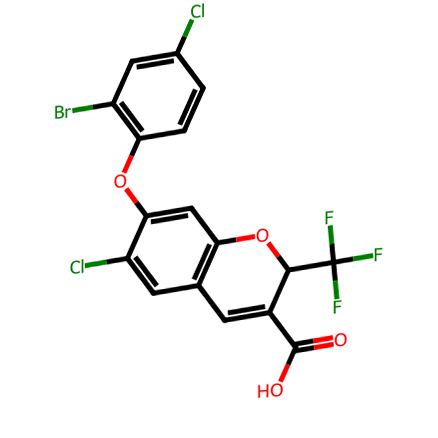 O=C(O)C1=Cc2cc(Cl)c(Oc3ccc(Cl)cc3Br)cc2OC1C(F)(F)F